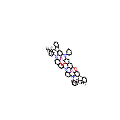 CC1(C)c2ccccc2-c2cc3oc4cc5cc6c7c(oc8cccc9c8p7c7c(cc8c(c7n9-c7ccccc7)C(C)(C)c7ccccc7-8)n6-c6ccccc6)c5c5c4p4c6c(cccc6n5-c5ccccc5)n(-c5ccccc5)c(c21)c34